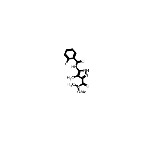 CON(C)C(=O)c1n[nH]c(NC(=O)c2ccccc2Cl)c1C